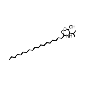 CCCCCCCCCCCCCCCCCCCC(=O)NC(C(=O)O)C(C)C